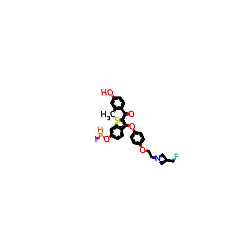 Cc1cc(O)ccc1C(=O)c1sc2cc(OPI)ccc2c1Oc1ccc(OCCN2CC(CF)C2)cc1